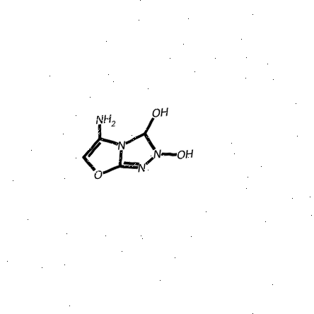 NC1=COC2=NN(O)C(O)N12